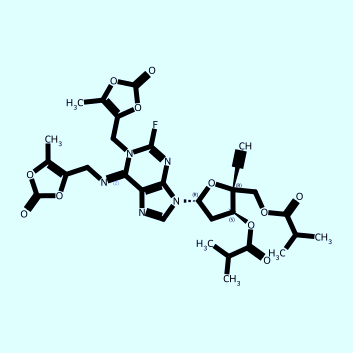 C#C[C@]1(COC(=O)C(C)C)O[C@@H](n2cnc3/c(=N/Cc4oc(=O)oc4C)n(Cc4oc(=O)oc4C)c(F)nc32)C[C@@H]1OC(=O)C(C)C